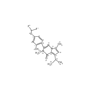 Cc1nc(OC(F)F)ccc1-c1nn2c(C)cc(C(C)C)c2c(=O)n1C